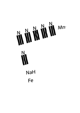 C#N.C#N.C#N.C#N.C#N.C#N.[Fe].[Mn].[NaH]